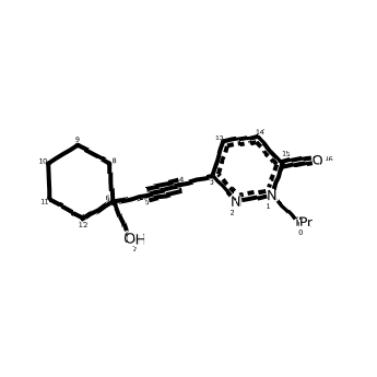 CC(C)n1nc(C#CC2(O)CCCCC2)ccc1=O